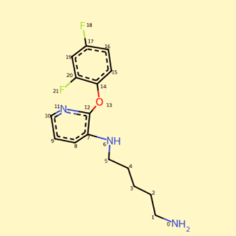 NCCCCCNc1cccnc1Oc1ccc(F)cc1F